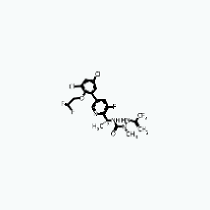 C=C(NN(C)C(=O)N[C@H](C)c1ncc(-c2cc(Cl)cc(Cl)c2OCC(F)F)cc1F)C(F)(F)F